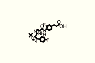 CC(C)(C)n1cnc(-c2ccc(F)cc2)c1-c1ncc(C(=O)Nc2ccc(CCC(=O)O)cc2F)[nH]1